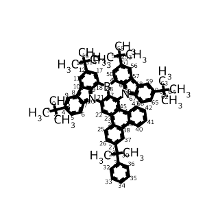 CC(C)(C)c1ccc2c(c1)c1cc(C(C)(C)C)cc3c1n2-c1cc2c4ccc(C(C)(C)c5ccccc5)cc4c4ccccc4c2c2c1B3c1cc(C(C)(C)C)cc3c4cc(C(C)(C)C)ccc4n-2c13